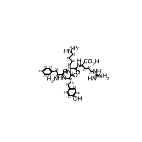 CC(C)NCCCC[C@H](NC(=O)[C@H](CCc1ccc(O)cc1)NC(=O)[C@@H](N)Cc1ccccc1)C(=O)N[C@H](CCCNC(=N)N)C(=O)O